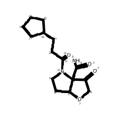 NC(=O)C12C(=O)COC1CCN2C(=O)[CH]CC1CCCC1